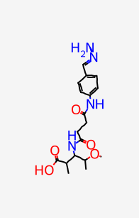 COC(C)C(NC(=O)CCC(=O)Nc1ccc(C=NN)cc1)C(C)C(=O)O